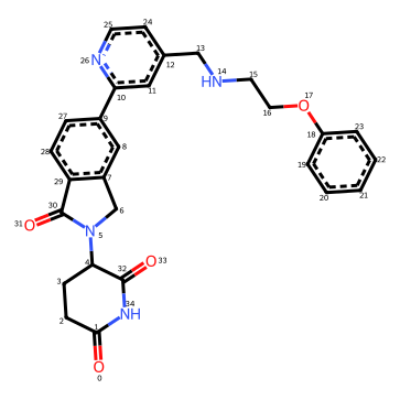 O=C1CCC(N2Cc3cc(-c4cc(CNCCOc5ccccc5)ccn4)ccc3C2=O)C(=O)N1